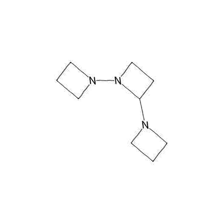 C1CN(C2CCN2N2CCC2)C1